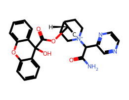 NC(=O)C(c1cnccn1)[N+]12CCC(CC1)[C@@H](OC(=O)C1(O)c3ccccc3Oc3ccccc31)C2